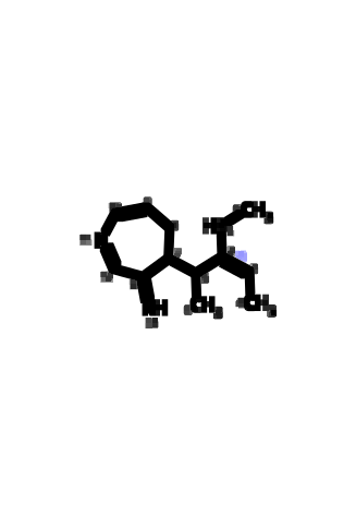 CB/C(=C/C)C(C)C1CC=CN=CC1=N